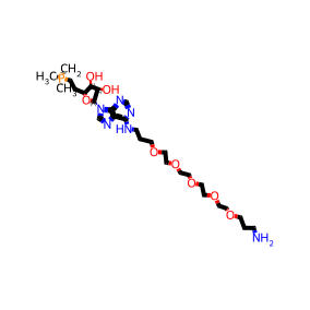 C=P(C)(C)CCC1O[C@@H](n2cnc3c(NCCCOCCOCCOCCOCCOCCCN)ncnc32)[C@H](O)[C@@H]1O